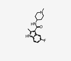 Cc1[nH]c2ccc(F)cc2c1C(=O)NC1CCN(C)CC1